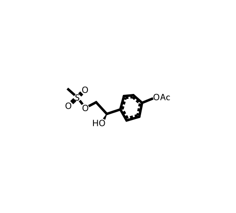 CC(=O)Oc1ccc([C@@H](O)COS(C)(=O)=O)cc1